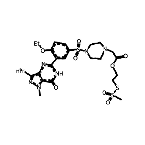 CCCc1nn(C)c2c(=O)[nH]c(-c3cc(S(=O)(=O)N4CCN(CC(=O)OCCSS(C)(=O)=O)CC4)ccc3OCC)nc12